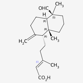 C=C1CC[C@@H]2[C@](C)(CCC[C@]2(C)C=O)[C@@H]1CC/C(C)=C/C(=O)O